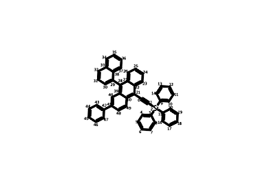 C(#C[Si](c1ccccc1)(c1ccccc1)c1ccccc1)c1c2ccccc2c(-c2cccc3ccccc23)c2cc(-c3ccccc3)ccc12